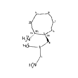 NCC(O)C[C@@H]1CCCCC[C@H]1N